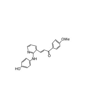 COc1ccc(C(=O)/C=C/c2cccnc2Nc2ccc(O)cc2)cc1